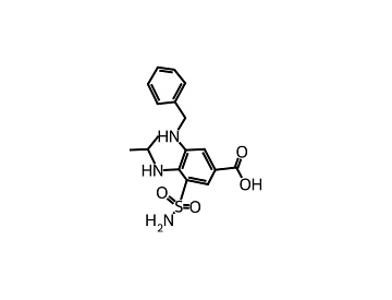 CC(C)Nc1c(NCc2ccccc2)cc(C(=O)O)cc1S(N)(=O)=O